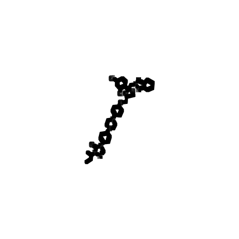 CCC(C)n1ncn(-c2ccc(N3CCN(c4ccc(OC[C@@H]5CO[C@@](Cn6nc7ccccc7n6)(c6ccc(Cl)cc6Cl)O5)cc4)CC3)cc2)c1=O